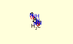 C=CC(=O)N1CCCC1c1nc(-c2ccc(C(=O)Nc3ccccn3)cc2)c2c(C3CC3)nccn12